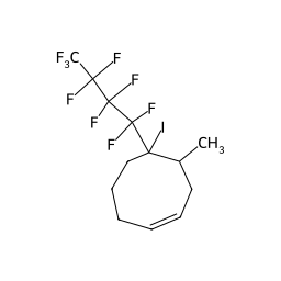 CC1C/C=C\CCCC1(I)C(F)(F)C(F)(F)C(F)(F)C(F)(F)F